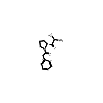 NC(N)C(=O)[C@@H]1CCCN1C(=O)Cc1ccccc1